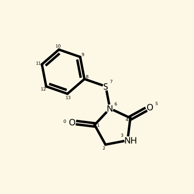 O=C1CNC(=O)N1Sc1ccccc1